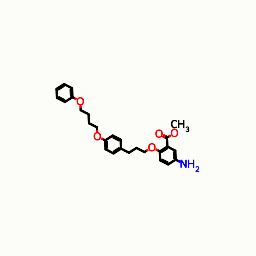 COC(=O)c1cc(N)ccc1OCCCc1ccc(OCCCCOc2ccccc2)cc1